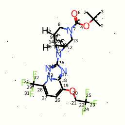 CC(C)(C)OC(=O)N1C[C@@H]2CC[C@]3(C1)[C@H]2N3c1nc2c(OCC(F)(F)F)ccc(C(F)(F)F)n2n1